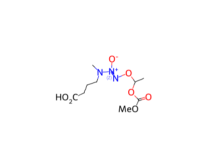 COC(=O)OC(C)O/N=[N+](\[O-])N(C)CCCC(=O)O